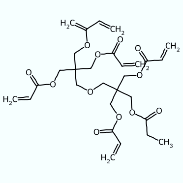 C=CC(=C)OCC(COCC(COC(=O)C=C)(COC(=O)C=C)COC(=O)CC)(COC(=O)C=C)COC(=O)C=C